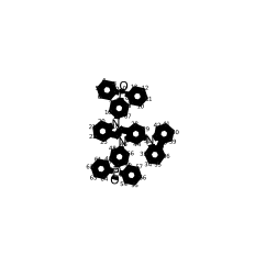 O=P(c1ccccc1)(c1ccccc1)c1ccc(-n2c3ccccc3c3c2c2ccc(-n4c5ccccc5c5ccccc54)cc2n3-c2ccc(P(=O)(c3ccccc3)c3ccccc3)cc2)cc1